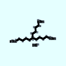 CCCCCCCCCCCCCCN(CCCCCCCCCCCCCC)CCCCCCCCCCCCCC.Cl